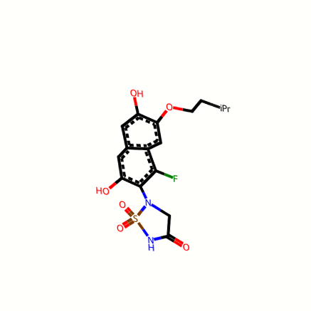 CC(C)CCOc1cc2c(F)c(N3CC(=O)NS3(=O)=O)c(O)cc2cc1O